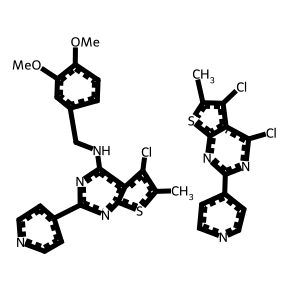 COc1ccc(CNc2nc(-c3ccncc3)nc3sc(C)c(Cl)c23)cc1OC.Cc1sc2nc(-c3ccncc3)nc(Cl)c2c1Cl